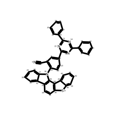 N#Cc1cc(-c2nc(-c3ccccc3)nc(-c3ccccc3)n2)ccc1-n1c2ccccc2c2ccc3sc4ccccc4c3c21